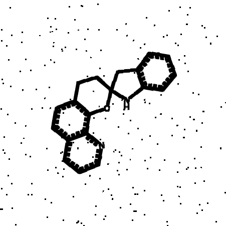 c1ccc2c(c1)CC1(CCc3ccc4cccnc4c3O1)N2